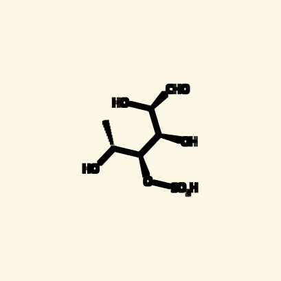 C[C@@H](O)[C@H](OS(=O)(=O)O)[C@H](O)[C@@H](O)C=O